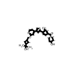 CC(C)(O)C1CC(COc2cc(-c3csc(-c4ccc(C(=O)N5CCC(O)CC5)cc4Cl)c3)ccn2)C1